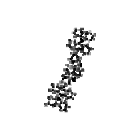 c1ccc2c(-n3c4ccccc4c4ccccc43)c3ccccc3c(-c3ccc4c(c3)Oc3ccc5c6c(ccc-4c36)-c3ccc(-c4c6ccccc6c(-n6c7ccccc7c7ccccc76)c6ccccc46)cc3O5)c2c1